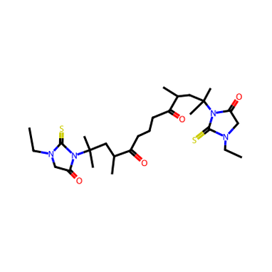 CCN1CC(=O)N(C(C)(C)CC(C)C(=O)CCCC(=O)C(C)CC(C)(C)N2C(=O)CN(CC)C2=S)C1=S